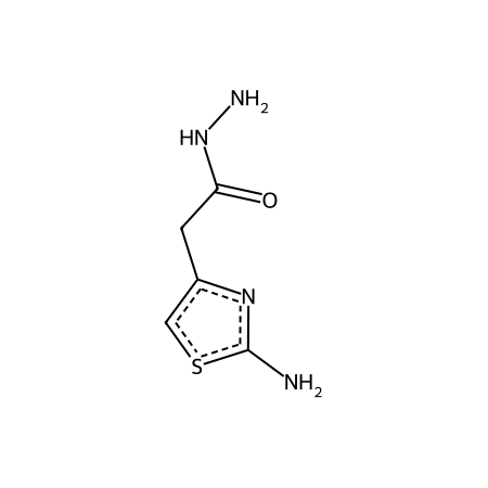 NNC(=O)Cc1csc(N)n1